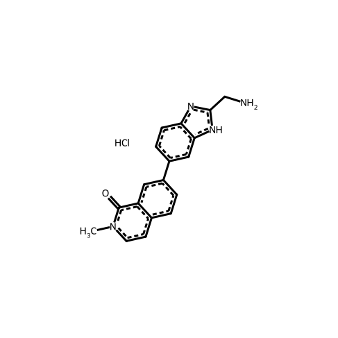 Cl.Cn1ccc2ccc(-c3ccc4nc(CN)[nH]c4c3)cc2c1=O